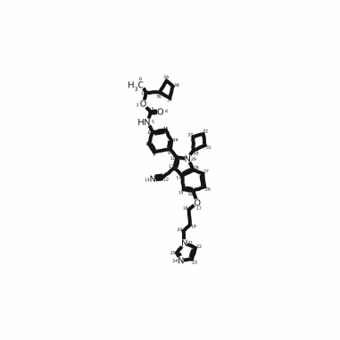 CC(OC(=O)Nc1ccc(-c2c(C#N)c3cc(OCCCn4ccnc4)ccc3n2C2CCC2)cc1)C1CCC1